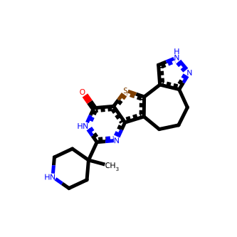 CC1(c2nc3c4c(sc3c(=O)[nH]2)-c2c[nH]nc2CCC4)CCNCC1